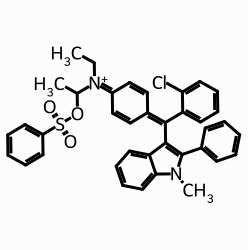 CC[N+](=C1C=CC(=C(c2ccccc2Cl)c2c(-c3ccccc3)n(C)c3ccccc23)C=C1)C(C)OS(=O)(=O)c1ccccc1